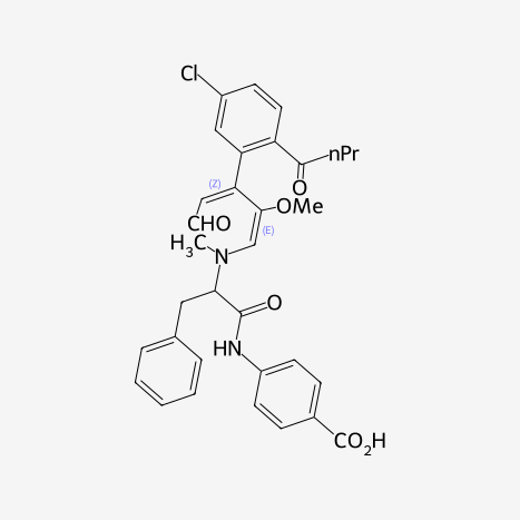 CCCC(=O)c1ccc(Cl)cc1C(=C/C=O)/C(=C\N(C)C(Cc1ccccc1)C(=O)Nc1ccc(C(=O)O)cc1)OC